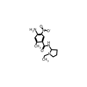 CCN1CCCC1NC(=O)c1cc([N+](=O)[O-])c(N)cc1C